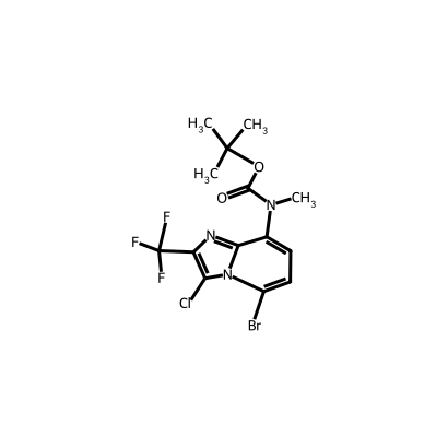 CN(C(=O)OC(C)(C)C)c1ccc(Br)n2c(Cl)c(C(F)(F)F)nc12